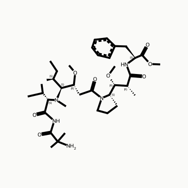 CC[C@H](C)[C@@H]([C@@H](CC(=O)N1CCC[C@H]1[C@H](OC)[C@@H](C)C(=O)N[C@@H](Cc1ccccc1)C(=O)OC)OC)N(C)[C@H](C(=O)NC(=O)C(C)(C)N)C(C)C